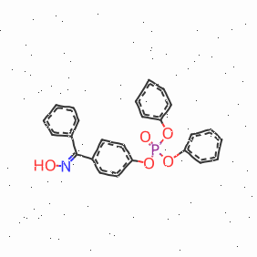 O=P(Oc1ccccc1)(Oc1ccccc1)Oc1ccc(C(=NO)c2ccccc2)cc1